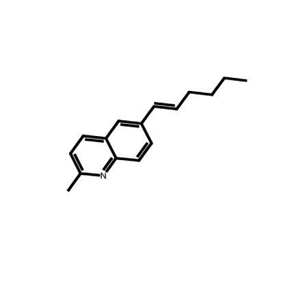 CCCC/C=C/c1ccc2nc(C)ccc2c1